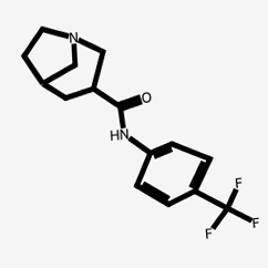 O=C(Nc1ccc(C(F)(F)F)cc1)C1CC2CCN(C2)C1